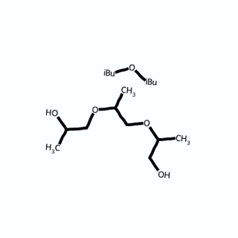 CC(O)COC(C)COC(C)CO.CCC(C)OC(C)CC